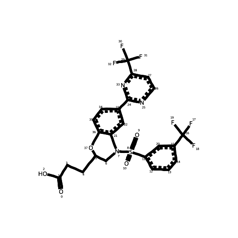 O=C(O)CCC1CN(S(=O)(=O)c2cccc(C(F)(F)F)c2)c2cc(-c3nccc(C(F)(F)F)n3)ccc2O1